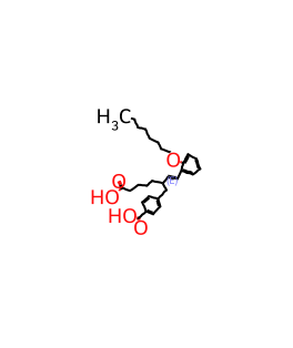 CCCCCCCCOc1ccccc1/C=C/C(CCCCC(=O)O)Cc1ccc(C(=O)O)cc1